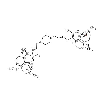 C[C@@H]1CC[C@H]2[C@@H](C)[C@](OCCN3CCN(CCOCC4=C(C(F)(F)F)O[C@@H]5O[C@]6(C)CC[C@H]7[C@H](C)CC[C@@H]4[C@@]57OO6)CC3)(C(F)(F)F)O[C@@H]3O[C@]4(C)CC[C@@H]1[C@]32OO4